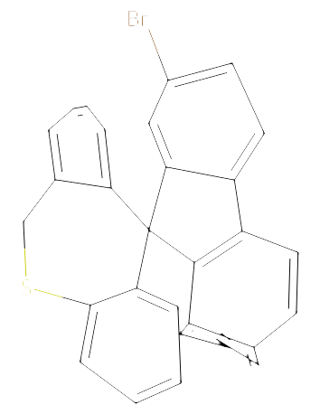 Brc1ccc2c(c1)C1(c3ccccc3CSc3ccccc31)c1c-2ccc2ccccc12